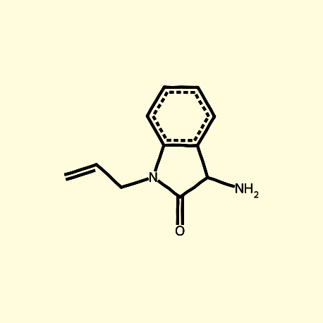 C=CCN1C(=O)C(N)c2ccccc21